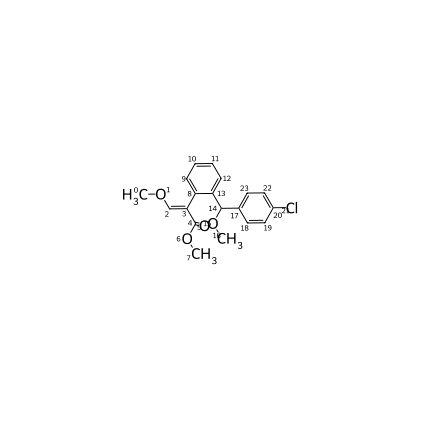 CO/C=C(/C(=O)OC)c1ccccc1C(OC)c1ccc(Cl)cc1